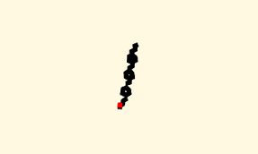 CCCCC[C@H]1CC[C@H](CCC2CC=C(CCc3ccc(CCCC)cc3)CC2)CC1